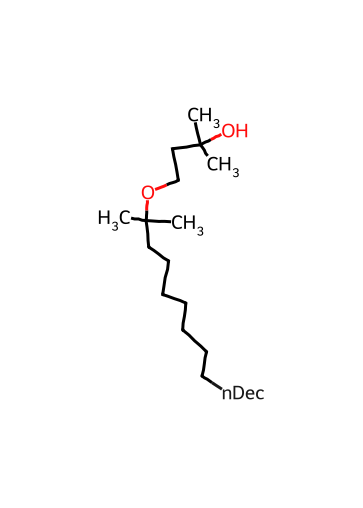 CCCCCCCCCCCCCCCCCC(C)(C)OCCC(C)(C)O